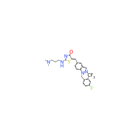 CN(C)CCCNC1=NC(=O)/C(=C/c2ccc3c(cnn3Cc3ccc(F)cc3C(F)(F)F)c2)S1